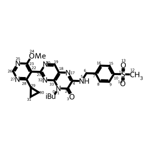 CCC(C)n1c(=O)c(NCc2ccc(S(C)(=O)=O)cc2)nc2cnc(-c3c(OC)ncnc3C3CC3)nc21